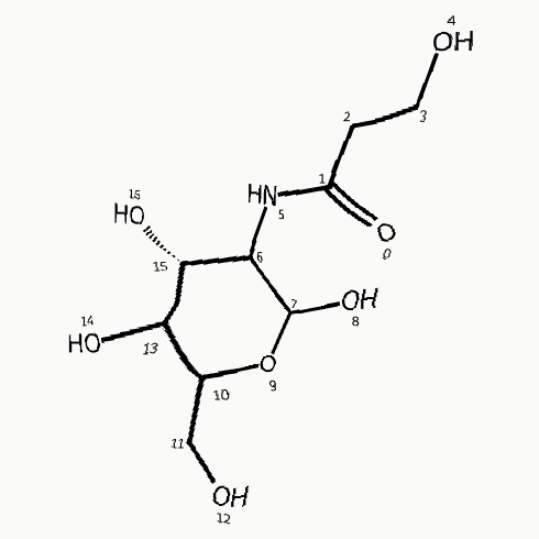 O=C(CCO)NC1C(O)OC(CO)C(O)[C@@H]1O